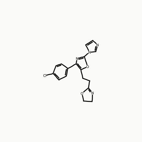 Clc1ccc(-c2nc(-n3ccnc3)oc2CCC2=NCCO2)cc1